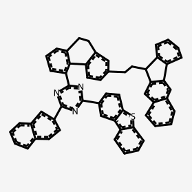 c1ccc2c(c1)-c1cc3ccccc3cc1C2CCc1ccc2c(c1)CCc1cccc(-c3nc(-c4ccc5ccccc5c4)nc(-c4ccc5sc6ccccc6c5c4)n3)c1-2